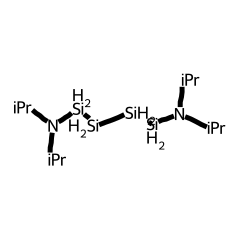 CC(C)N([SiH2][SiH2][SiH2][SiH2]N(C(C)C)C(C)C)C(C)C